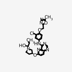 C=CC(O)N1CC[C@H](Oc2ccc3ncnc(Nc4ccc(OCc5nnc(C)o5)c(Cl)c4)c3n2)C1